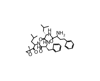 CC(C)CC(NC(=O)[C@H](Cc1ccccc1)NC(=O)[C@H](CC(C)C)NC(=O)[C@@H](N)CCc1ccccc1)C(=O)[C@@]1(C)CO1